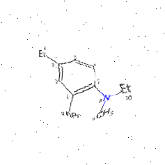 CCCc1cc(CC)ccc1N(C)CC